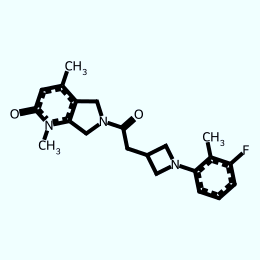 Cc1cc(=O)n(C)c2c1CN(C(=O)CC1CN(c3cccc(F)c3C)C1)C2